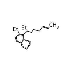 C/C=C/CCCC(CC)c1c(CC)ccc2ccccc12